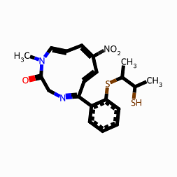 CC(S)C(C)Sc1ccccc1C1=N/CC(=O)N(C)/C=C/C=C([N+](=O)[O-])\C=C\1